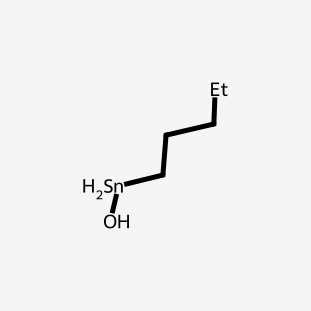 CCCC[CH2][SnH2][OH]